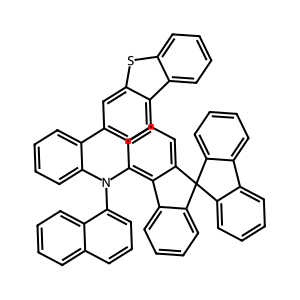 c1ccc(N(c2cccc3c2-c2ccccc2C32c3ccccc3-c3ccccc32)c2cccc3ccccc23)c(-c2ccc3c(c2)sc2ccccc23)c1